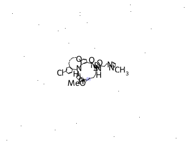 CO[C@H]1/C=C/CCC[S@@](=O)(NC(=O)CCn2ccc(C)n2)=NC(=O)c2ccc3c(c2)N(Cc2ccc(Cl)cc2CCCCO3)C[C@@H]2CC[C@H]21